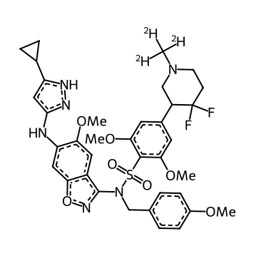 [2H]C([2H])([2H])N1CCC(F)(F)C(c2cc(OC)c(S(=O)(=O)N(Cc3ccc(OC)cc3)c3noc4cc(Nc5cc(C6CC6)[nH]n5)c(OC)cc34)c(OC)c2)C1